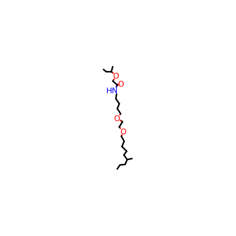 CCCC(C)CCCCCOCCOCCCCCNC(=O)COC(C)CC